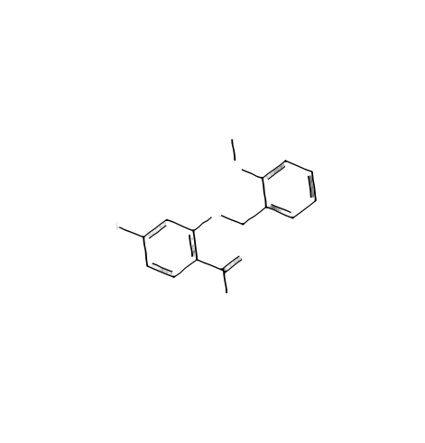 COc1ccccc1CSc1cc(Cl)ccc1C(=O)O